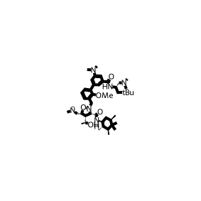 COc1c(CN2O[C@@H](CN(C)C)[C@@H]([C@H](C)O)[C@H]2C(=O)N[C@H]2C[C@@H](C)C(C)(C)[C@@H](C)[C@@H]2C)cccc1-c1cc(C(=O)N[C@H](CN(C)C)CC(C)(C)C)cc(N(C)C)c1